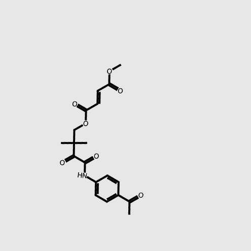 COC(=O)/C=C/C(=O)OCC(C)(C)C(=O)C(=O)Nc1ccc(C(C)=O)cc1